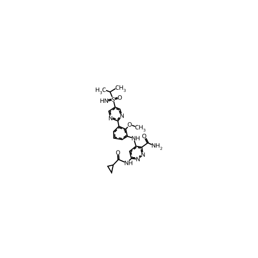 COc1c(Nc2cc(NC(=O)C3CC3)nnc2C(N)=O)cccc1-c1ncc(S(=N)(=O)C(C)C)cn1